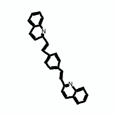 C(=Cc1ccc2ccccc2n1)c1ccc(C=Cc2ccc3ccccc3n2)cc1